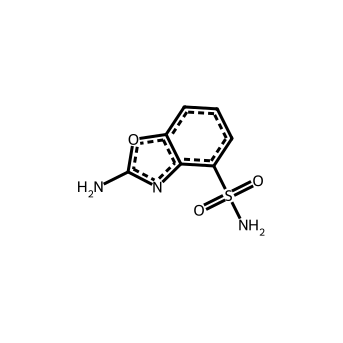 Nc1nc2c(S(N)(=O)=O)cccc2o1